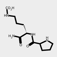 NC(=O)[C@H](CCCNC(=O)O)NC(=O)C1CCCN1